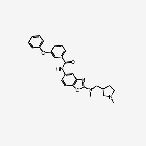 CN1CCC(CN(C)c2nc3cc(NC(=O)c4cccc(Oc5ccccc5)c4)ccc3o2)C1